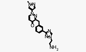 Cn1cc(-n2ccc(=O)c(Cc3cccc(-c4ncn(CCN)n4)c3)n2)cn1